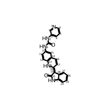 O=C(Nc1cccnc1)Nc1ccc2c(c1)C=C/C(=C1/C(=O)Nc3ccccc31)N2